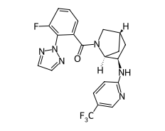 O=C(c1cccc(F)c1-n1nccn1)N1C[C@@H]2C[C@@H](Nc3ccc(C(F)(F)F)cn3)[C@@H]1C2